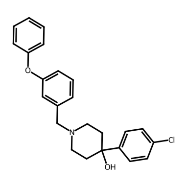 OC1(c2ccc(Cl)cc2)CCN(Cc2cccc(Oc3ccccc3)c2)CC1